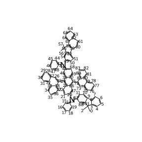 CC1(C)c2ccccc2-c2ccc(N(c3ccccc3)c3ccc4c(-c5cc6ccccc6c6ccccc56)c5cc(N(c6ccccc6)c6ccc7c(c6)C(C)(C)c6c-7ccc7ccccc67)ccc5c(-c5cc6ccccc6c6ccccc56)c4c3)cc21